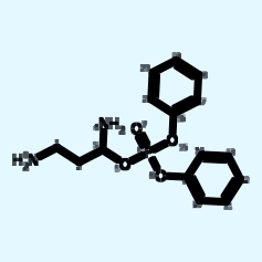 NCCC(N)OP(=O)(Oc1ccccc1)Oc1ccccc1